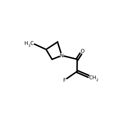 C=C(F)C(=O)N1CC(C)C1